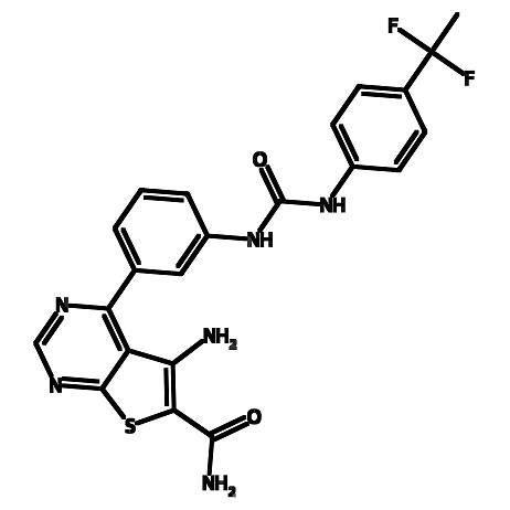 CC(F)(F)c1ccc(NC(=O)Nc2cccc(-c3ncnc4sc(C(N)=O)c(N)c34)c2)cc1